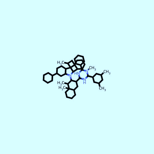 CC1CC(C)CC(C2NC(C3CC4CCCCC4(C)C(C)C3N3C4CC(C5CCCCC5)CCC4C45C(C)CC46CCCCC6C35)NC(C3CCCCC3)N2C)C1